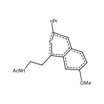 CCCc1cc(CCNC(C)=O)c2cc(OC)ccc2c1